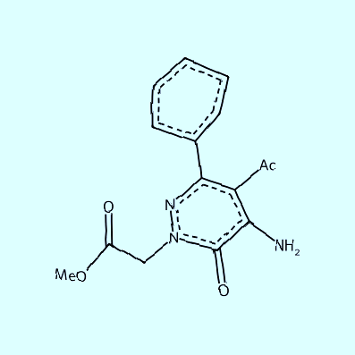 COC(=O)Cn1nc(-c2ccccc2)c(C(C)=O)c(N)c1=O